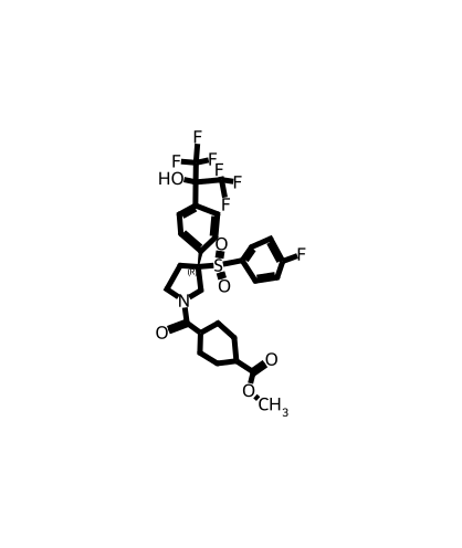 COC(=O)C1CCC(C(=O)N2CC[C@](c3ccc(C(O)(C(F)(F)F)C(F)(F)F)cc3)(S(=O)(=O)c3ccc(F)cc3)C2)CC1